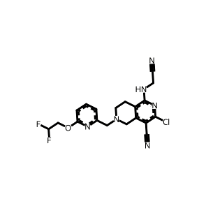 N#CCNc1nc(Cl)c(C#N)c2c1CCN(Cc1cccc(OCC(F)F)n1)C2